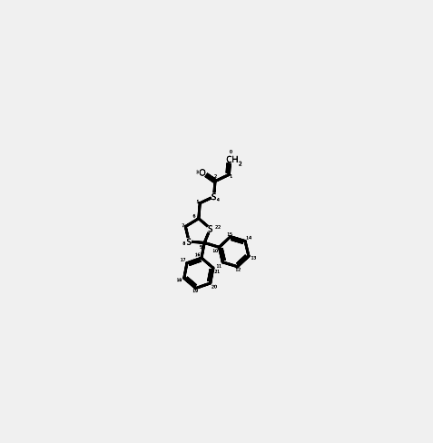 C=CC(=O)SCC1CSC(c2ccccc2)(c2ccccc2)S1